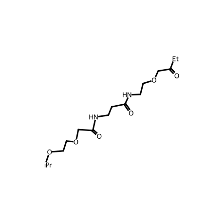 CCC(=O)COCCNC(=O)CCNC(=O)COCCOC(C)C